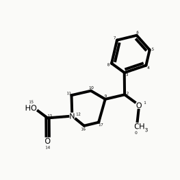 COC(c1ccccc1)C1CCN(C(=O)O)CC1